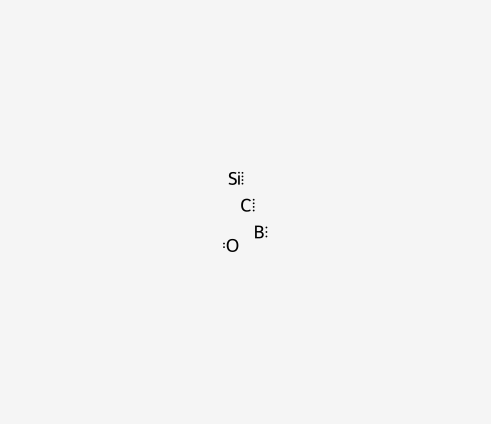 [B].[C].[O].[Si]